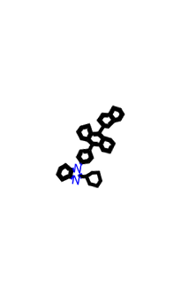 c1ccc2cc(-c3c4ccccc4c(-c4ccc(-n5c(C6CCCCC6)nc6ccccc65)cc4)c4ccccc34)ccc2c1